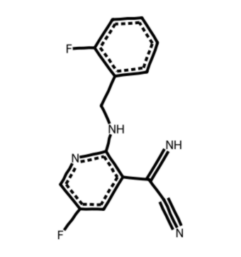 N#CC(=N)c1cc(F)cnc1NCc1ccccc1F